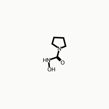 O=C(NO)N1CCCC1